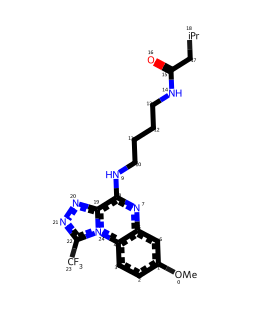 COc1ccc2c(c1)nc(NCCCCNC(=O)CC(C)C)c1nnc(C(F)(F)F)n12